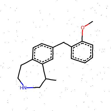 COc1ccccc1Cc1ccc2c(c1)C(C)CNCC2